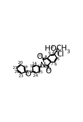 C[C@@](O)(Cl)c1ccc2c(c1)C(=O)N(c1ccc(Oc3ccccc3)cc1)C2=O